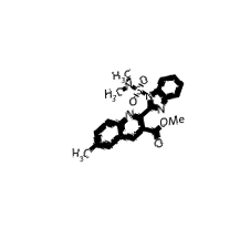 COC(=O)c1cc2cc(C)ccc2nc1-c1nc2ccccc2n1S(=O)(=O)N(C)C